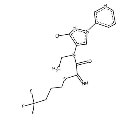 CCN(C(=O)C(=N)SCCCC(F)(F)F)c1cn(-c2cccnc2)nc1Cl